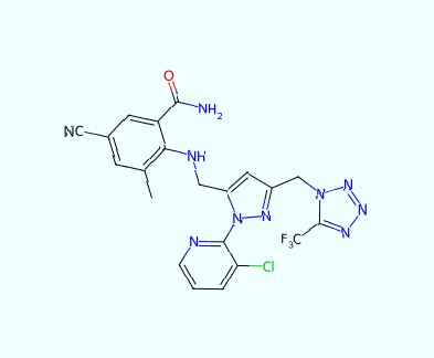 Cc1cc(C#N)cc(C(N)=O)c1NCc1cc(Cn2nnnc2C(F)(F)F)nn1-c1ncccc1Cl